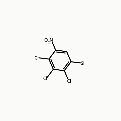 O=[N+]([O-])c1cc(S)c(Cl)c(Cl)c1Cl